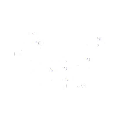 COc1cc(C(=O)N2CCC[C@@H](CN)C2)cc2nc(-c3cc4cccc(-c5ccc6[nH]c(=O)cc(C)c6c5)c4n3CC3CC3)n(C)c12